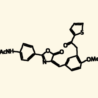 COc1ccc(/C=C2/N=C(c3ccc(NC(C)=O)cc3)OC2=O)cc1CC(=O)c1cccs1